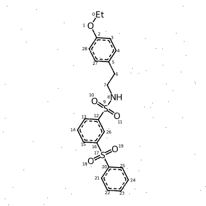 CCOc1ccc(CCNS(=O)(=O)c2cccc(S(=O)(=O)c3ccccc3)c2)cc1